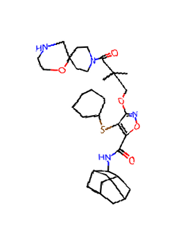 CC(C)(COc1noc(C(=O)NC2C3CC4CC(C3)CC2C4)c1SC1CCCCC1)C(=O)N1CCC2(CC1)CNCCO2